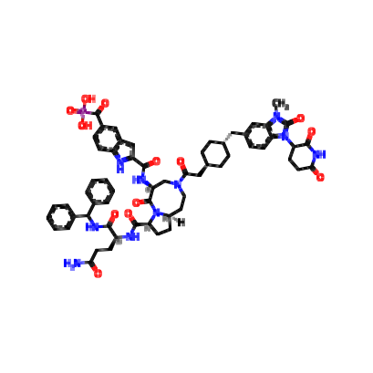 Cn1c(=O)n(C2CCC(=O)NC2=O)c2ccc(C[C@H]3CC[C@H](CC(=O)N4CC[C@H]5CC[C@@H](C(=O)N[C@@H](CCC(N)=O)C(=O)NC(c6ccccc6)c6ccccc6)N5C(=O)[C@@H](NC(=O)c5cc6cc(C(=O)P(=O)(O)O)ccc6[nH]5)C4)CC3)cc21